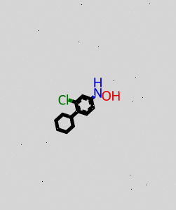 ONc1ccc(C2CCCCC2)c(Cl)c1